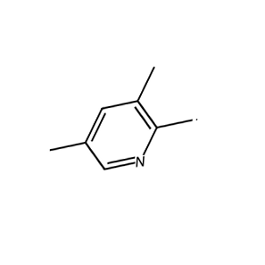 [CH2]c1ncc(C)cc1C